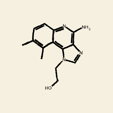 Cc1ccc2nc(N)c3ncn(CCO)c3c2c1C